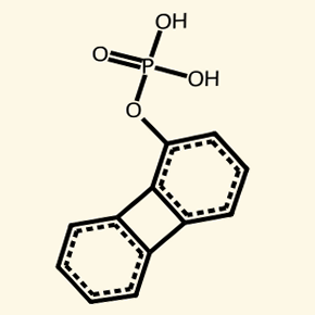 O=P(O)(O)Oc1cccc2c1-c1ccccc1-2